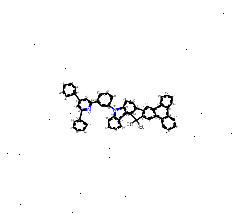 CCC1(CC)c2cc3c4ccccc4c4ccccc4c3cc2-c2ccc3c(c21)c1ccccc1n3-c1cccc(-c2cc(-c3ccccc3)cc(-c3ccccc3)n2)c1